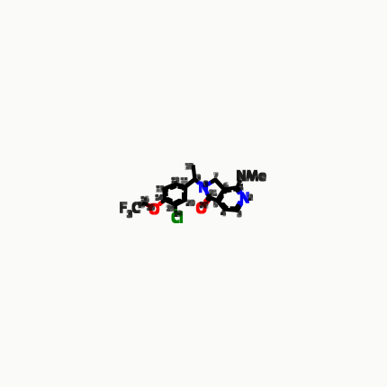 CNc1nccc2c1CN(C(C)c1ccc(OCC(F)(F)F)c(Cl)c1)C2=O